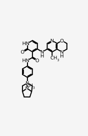 Cc1c(Nc2cc[nH]c(=O)c2C(=O)Nc2ccc(N3CC4CCC(C3)N4C)cc2)cnc2c1NCCO2